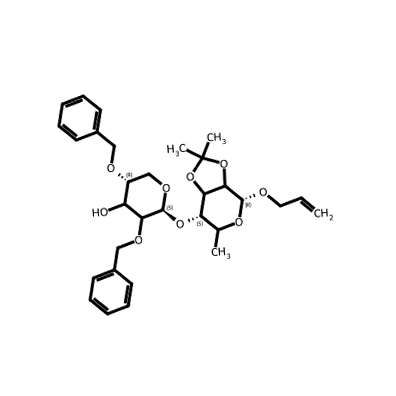 C=CCO[C@@H]1OC(C)[C@H](O[C@@H]2OC[C@@H](OCc3ccccc3)C(O)C2OCc2ccccc2)C2OC(C)(C)OC21